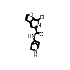 O=C(NC1CC2CC1CN2)c1cc2ccoc2c(Cl)n1